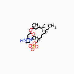 CCCCCCCCOS(=O)(=O)[O-].CCCC[C@@H](C)OC(=O)Cc1[nH]cc[n+]1C